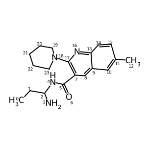 CCC(N)NC(=O)c1cc2cc(C)ccc2nc1N1CCCCC1